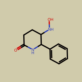 O=C1CCC(NO)C(c2ccccc2)N1